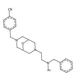 CC(=O)N(CCN1CC2CN(Cc3ccc(C#N)cc3)CC(C1)O2)Cc1ccccc1